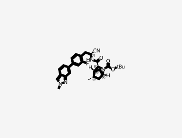 C[C@H]1C[C@@H]2C[C@H]1[C@@H](C(=O)N[C@H](C#N)Cc1ccc(-c3ccc4cn(C)nc4c3)cc1F)N2C(=O)OC(C)(C)C